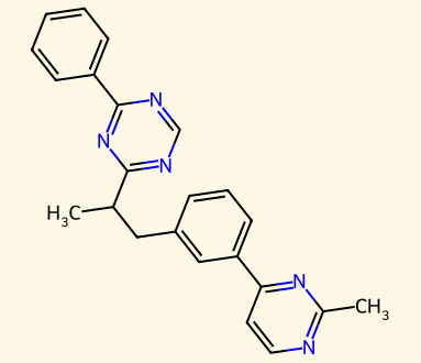 Cc1nccc(-c2cccc(CC(C)c3ncnc(-c4ccccc4)n3)c2)n1